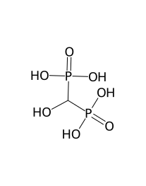 O=P(O)(O)C(O)P(=O)(O)O